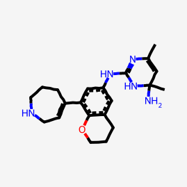 CC1=CC(C)(N)NC(Nc2cc3c(c(C4=CCNCCC4)c2)OCCC3)=N1